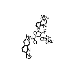 CC(C)(C)[Si](C)(C)O[C@H]1[C@H](F)[C@H](n2ccc3c(N)ncnc32)O[C@@H]1C(=O)Nc1ccc2ccc(N3CCC3)nc2c1